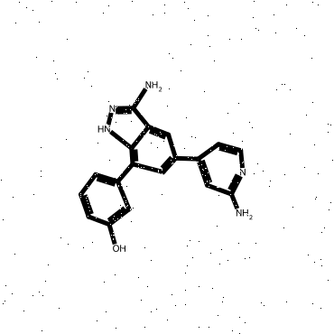 Nc1cc(-c2cc(-c3cccc(O)c3)c3[nH]nc(N)c3c2)ccn1